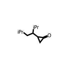 CC(C)CC(C(C)C)C1CC1=O